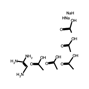 CC(=O)O.CC(=O)O.CC(=O)O.CC(=O)O.CC(=O)O.NC=C(N)N.[NaH].[NaH]